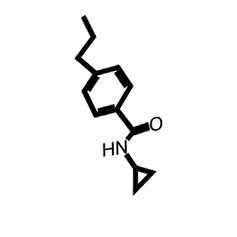 CCCc1ccc(C(=O)NC2CC2)cc1